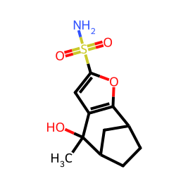 CC1(O)c2cc(S(N)(=O)=O)oc2C2CCC1C2